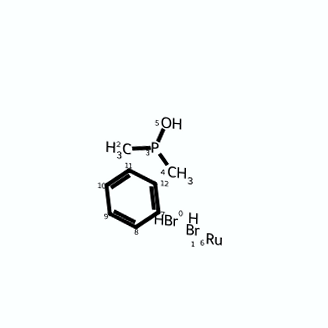 Br.Br.CP(C)O.[Ru].c1ccccc1